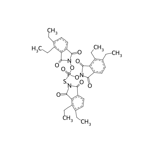 CCc1ccc2c(c1CC)C(=O)N(OP(=O)(ON1C(=O)c3ccc(CC)c(CC)c3C1=O)SN1C(=O)c3ccc(CC)c(CC)c3C1=O)C2=O